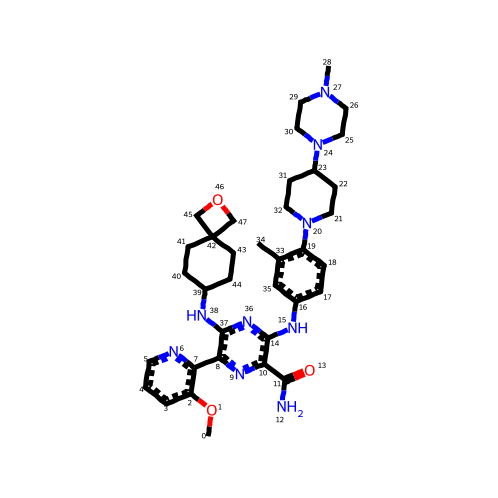 COc1cccnc1-c1nc(C(N)=O)c(Nc2ccc(N3CCC(N4CCN(C)CC4)CC3)c(C)c2)nc1NC1CCC2(CC1)COC2